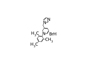 Br.Cc1cc(C)c(N2C=CC=C(Cn3ccnc3)C2)c(C)c1